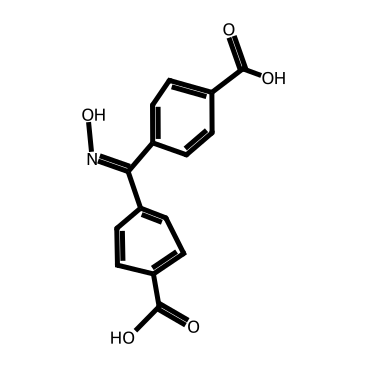 O=C(O)c1ccc(C(=NO)c2ccc(C(=O)O)cc2)cc1